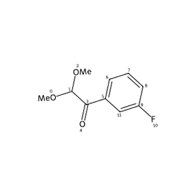 COC(OC)C(=O)c1cccc(F)c1